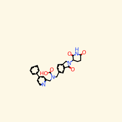 O=C1CCC(N2Cc3ccc(CN(Cc4cc(-c5ccccc5)ccn4)C(=O)O)cc3C2=O)C(=O)N1